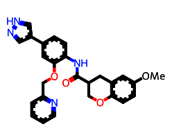 COc1ccc2c(c1)CC(C(=O)Nc1ccc(-c3cn[nH]c3)cc1OCc1ccccn1)CO2